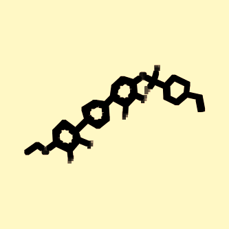 C=CC1CC=C(C(F)(F)Oc2ccc(-c3ccc(-c4ccc(OCC)c(F)c4F)cc3)c(F)c2F)CC1